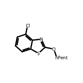 CCCCCOc1nc2c(Cl)cccc2s1